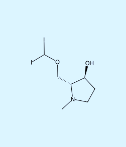 CN1CC[C@H](O)[C@H]1COC(I)I